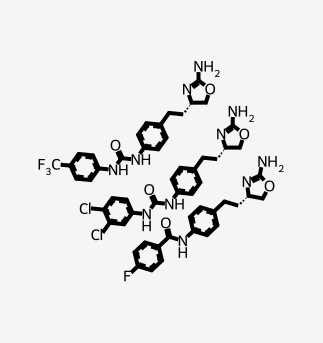 NC1=N[C@@H](CCc2ccc(NC(=O)Nc3ccc(C(F)(F)F)cc3)cc2)CO1.NC1=N[C@@H](CCc2ccc(NC(=O)Nc3ccc(Cl)c(Cl)c3)cc2)CO1.NC1=N[C@@H](CCc2ccc(NC(=O)c3ccc(F)cc3)cc2)CO1